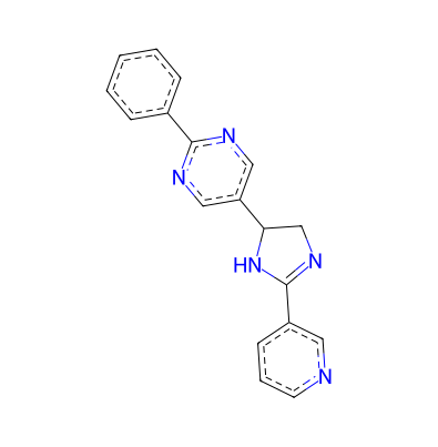 c1ccc(-c2ncc(C3CN=C(c4cccnc4)N3)cn2)cc1